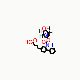 CN1[C@H]2C[C@H](OC(=O)Nc3cc(CCCC(=O)O)ccc3-c3ccccc3)C[C@H]1[C@H]1O[C@H]12